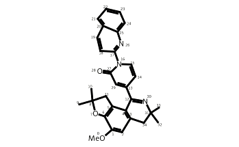 COc1cc2c(c3c1OC(C)(C)C3)C(c1ccn(-c3ccc4ccccc4n3)c(=O)c1)=NC(C)(C)C2